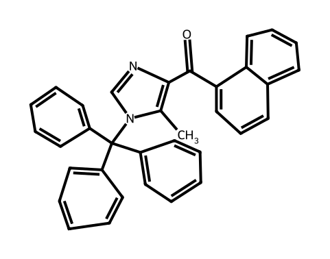 Cc1c(C(=O)c2cccc3ccccc23)ncn1C(c1ccccc1)(c1ccccc1)c1ccccc1